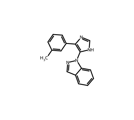 Cc1cccc(-c2nc[nH]c2-n2ncc3ccccc32)c1